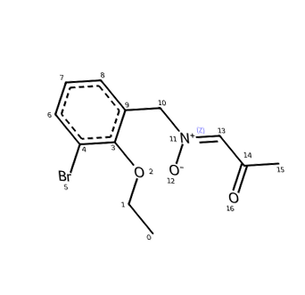 CCOc1c(Br)cccc1C/[N+]([O-])=C/C(C)=O